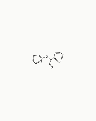 O=[C]C(Oc1ccccn1)c1ccccc1